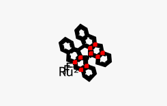 [F-].[F-].[Ru+2].c1ccc(P(c2ccccc2)c2ccc3ccccc3c2-c2c(P(c3ccccc3)c3ccccc3)ccc3ccccc23)cc1